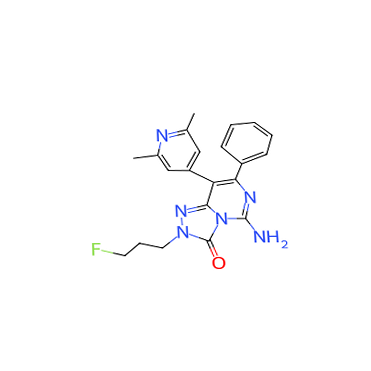 Cc1cc(-c2c(-c3ccccc3)nc(N)n3c(=O)n(CCCF)nc23)cc(C)n1